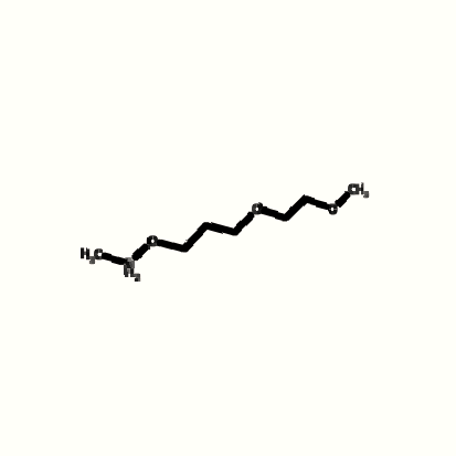 COCCOCCCO[SiH2]C